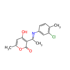 CC(=Nc1ccc(C)c(Cl)c1)c1c(O)cc(C)oc1=O